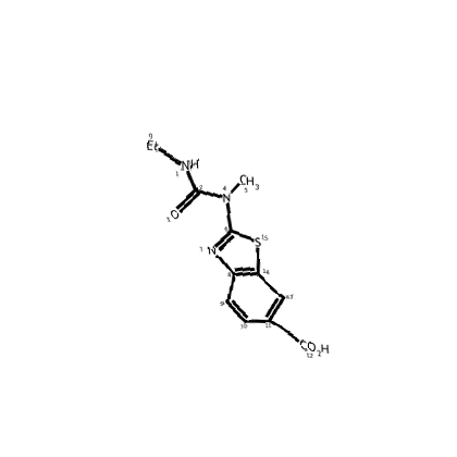 CCNC(=O)N(C)c1nc2ccc(C(=O)O)cc2s1